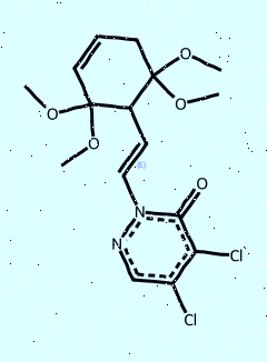 COC1(OC)C=CCC(OC)(OC)C1/C=C/n1ncc(Cl)c(Cl)c1=O